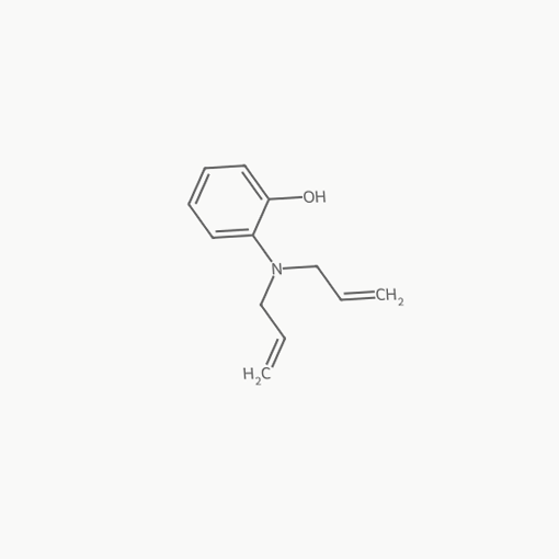 C=CCN(CC=C)c1ccccc1O